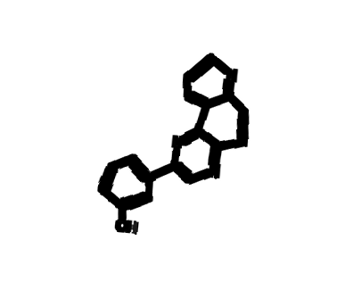 Oc1cccc(-c2cnc3ccc4ncccc4c3n2)c1